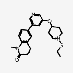 CCSN1CCC(Oc2cncc(-c3ccc4c(c3)CCC(=O)N4C)c2)CC1